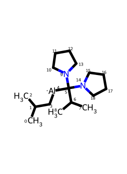 CC(C)[CH2][Al][C](C(C)C)(N1CCCC1)N1CCCC1